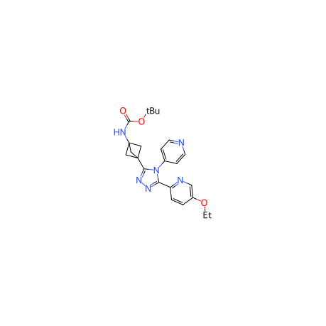 CCOc1ccc(-c2nnc(C34CC(NC(=O)OC(C)(C)C)(C3)C4)n2-c2ccncc2)nc1